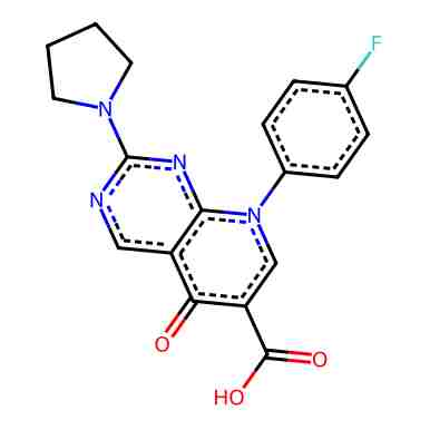 O=C(O)c1cn(-c2ccc(F)cc2)c2nc(N3CCCC3)ncc2c1=O